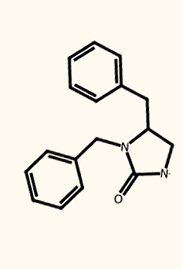 O=C1[N]CC(Cc2ccccc2)N1Cc1ccccc1